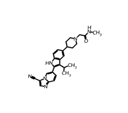 CNC(=O)CN1CCC(c2ccc3[nH]c(-c4ccc5ncc(C#N)n5c4)c(C(C)C)c3c2)CC1